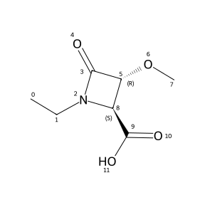 CCN1C(=O)[C@H](OC)[C@H]1C(=O)O